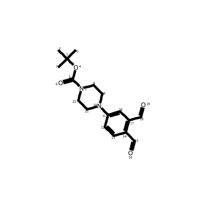 CC(C)(C)OC(=O)N1CCN(c2ccc(C=O)c(C=O)c2)CC1